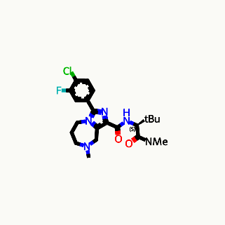 CNC(=O)[C@@H](NC(=O)c1nc(-c2ccc(Cl)c(F)c2)n2c1CN(C)CCC2)C(C)(C)C